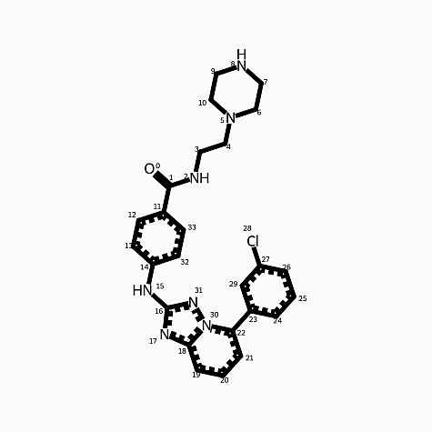 O=C(NCCN1CCNCC1)c1ccc(Nc2nc3cccc(-c4cccc(Cl)c4)n3n2)cc1